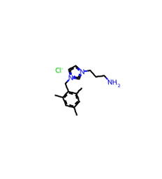 Cc1cc(C)c(C[n+]2ccn(CCCN)c2)c(C)c1.[Cl-]